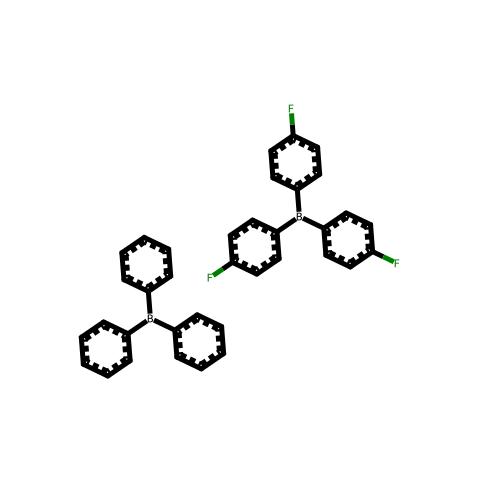 Fc1ccc(B(c2ccc(F)cc2)c2ccc(F)cc2)cc1.c1ccc(B(c2ccccc2)c2ccccc2)cc1